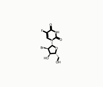 O=c1[nH]c(=O)n([C@@H]2O[C@H](CO)[C@@H](O)[C@H]2Br)cc1F